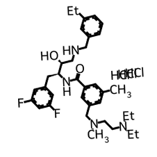 CCc1cccc(CNC[C@H](O)[C@H](Cc2cc(F)cc(F)c2)NC(=O)c2cc(C)cc(CN(C)CCN(CC)CC)c2)c1.Cl.Cl.Cl